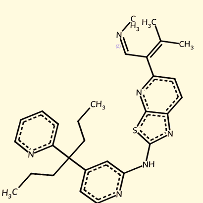 CCCC(CCC)(c1ccnc(Nc2nc3ccc(C(/C=N\C)=C(C)C)nc3s2)c1)c1ccccn1